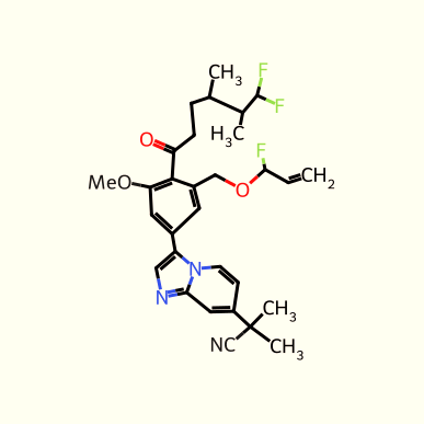 C=CC(F)OCc1cc(-c2cnc3cc(C(C)(C)C#N)ccn23)cc(OC)c1C(=O)CCC(C)C(C)C(F)F